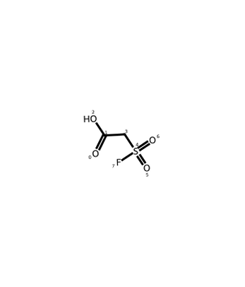 O=C(O)CS(=O)(=O)F